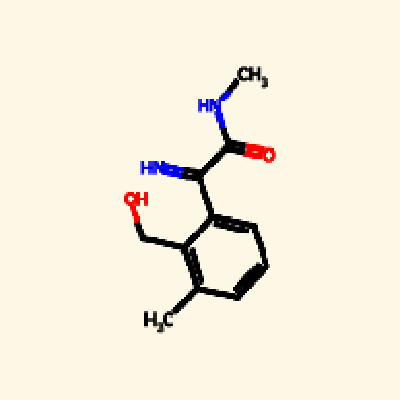 CNC(=O)C(=N)c1cccc(C)c1CO